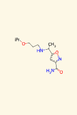 CC(C)OCCCNC(C)c1cc(C(N)=O)no1